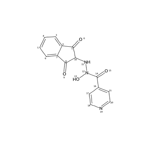 O=C1c2ccccc2C(=O)C1NN(O)C(=O)c1ccncc1